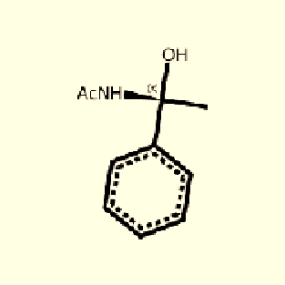 CC(=O)N[C@](C)(O)c1ccccc1